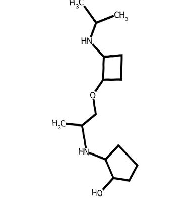 CC(C)NC1CCC1OCC(C)NC1CCCC1O